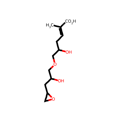 CC(=CCC(O)COCC(O)CC1CO1)C(=O)O